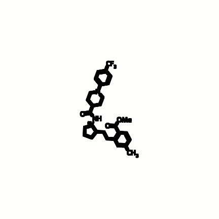 COC(=O)c1ccc(C)cc1CCC1CCC[C@@H]1NC(=O)C1CCN(c2ccc(C(F)(F)F)cc2)CC1